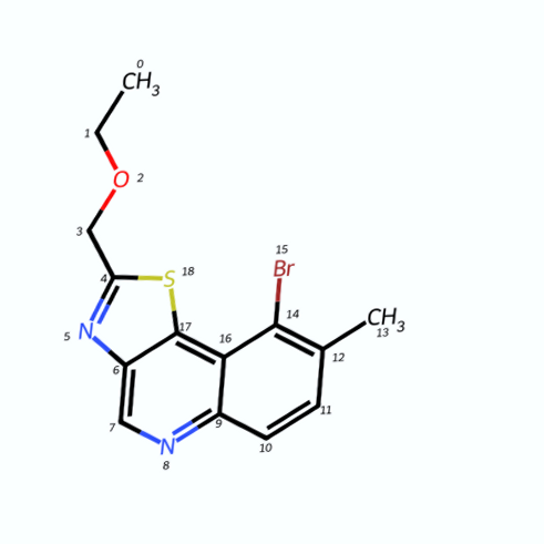 CCOCc1nc2cnc3ccc(C)c(Br)c3c2s1